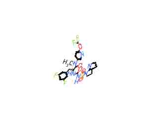 CN(C(=O)[C@H](Cc1cc(F)cc(F)c1)NC(=O)NS(=O)(=O)N1CCc2cccnc21)c1ccc(OC(F)F)nc1